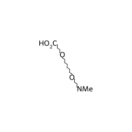 CNCCCCOCCCCCCCCOCCCCC(=O)O